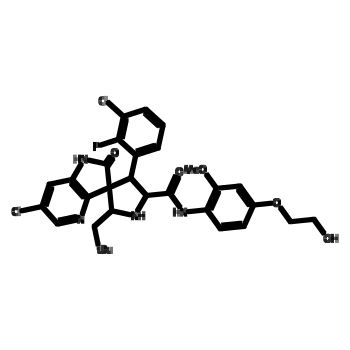 COc1cc(OCCO)ccc1NC(=O)C1NC(CC(C)(C)C)C2(C(=O)Nc3cc(Cl)cnc32)C1c1cccc(Cl)c1F